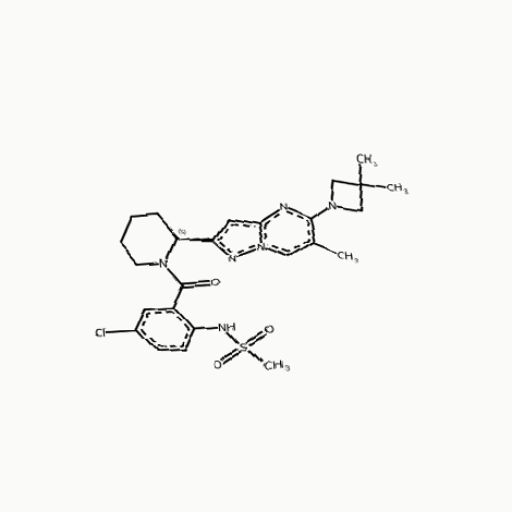 Cc1cn2nc([C@@H]3CCCCN3C(=O)c3cc(Cl)ccc3NS(C)(=O)=O)cc2nc1N1CC(C)(C)C1